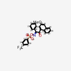 COc1cc(C(=O)/C(=N/OS(=O)(=O)c2ccc(C(F)(F)F)cc2)c2ccccc2)c2ccccc2c1